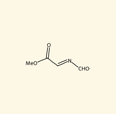 COC(=O)C=N[C]=O